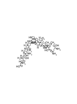 CC(C)C[C@H](N)C(=O)O.CC(C)C[C@H](N)C(=O)O.CC(C)[C@H](N)C(=O)O.CC(C)[C@H](N)C(=O)O.CSCC[C@H](N)C(=O)O.C[C@@H](O)[C@H](N)C(=O)O.NC(=O)CC[C@H](N)C(=O)O.NCC(=O)O.O=C(O)[C@@H]1CCCN1.O=C(O)[C@@H]1CCCN1